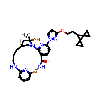 CC1(S)C[C@@H]2CCCNc3cccc(n3)SNC(=O)c3ccc(-n4ccc(OCCC5C6(CC6)C56CC6)n4)nc3N1C2